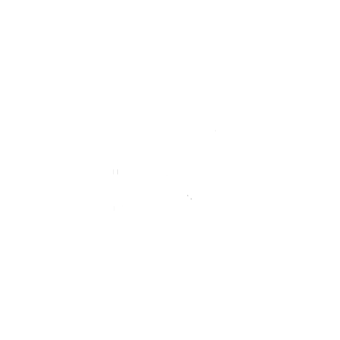 COc1ccc(CC(C)C)cc1.N